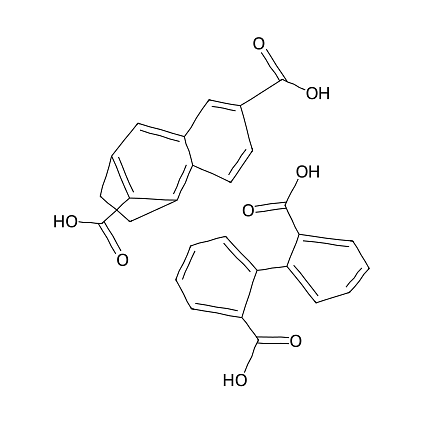 O=C(O)c1ccc2c3c(C(=O)O)c(cc2c1)CC3.O=C(O)c1ccccc1-c1ccccc1C(=O)O